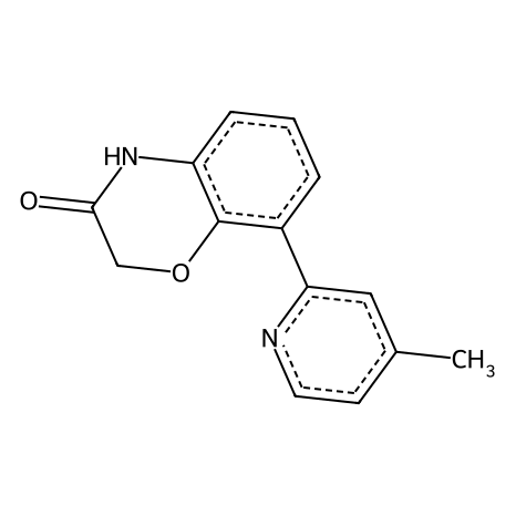 Cc1ccnc(-c2cccc3c2OCC(=O)N3)c1